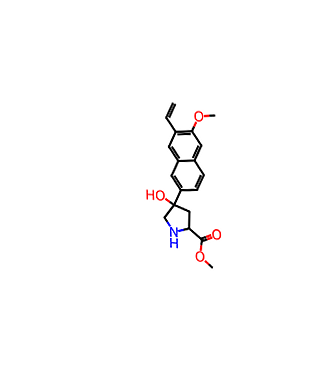 C=Cc1cc2cc(C3(O)CNC(C(=O)OC)C3)ccc2cc1OC